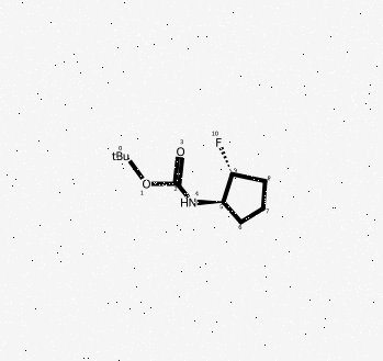 CC(C)(C)OC(=O)N[C@@H]1CCC[C@H]1F